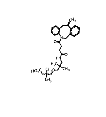 C=C1Cc2ccccc2N(C(=O)CCC(=O)NCC(C)(C)COCC(C)(C)CC(=O)O)Cc2ccccc21